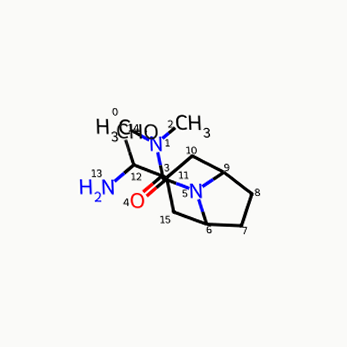 CN(C)C(=O)N1C2CCC1CC(C(N)[C]=O)C2